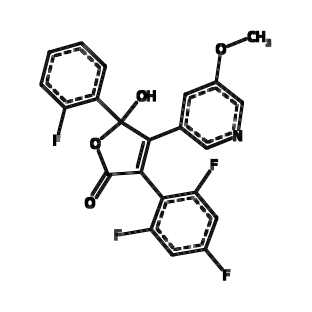 COc1cncc(C2=C(c3c(F)cc(F)cc3F)C(=O)OC2(O)c2ccccc2F)c1